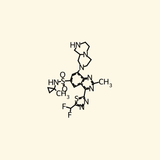 Cc1nc(-c2nnc(C(F)F)s2)c2cc(S(=O)(=O)NC3(C)CC3)cc(N3CCN4CCNCC4C3)c2n1